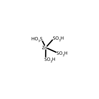 O=[S](=O)(O)[Zn]([S](=O)(=O)O)([S](=O)(=O)O)[S](=O)(=O)O